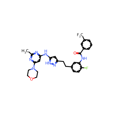 Cc1nc(Nc2cc(CCc3ccc(F)c(NC(=O)c4cccc(C(F)(F)F)c4)c3)n[nH]2)cc(N2CCOCC2)n1